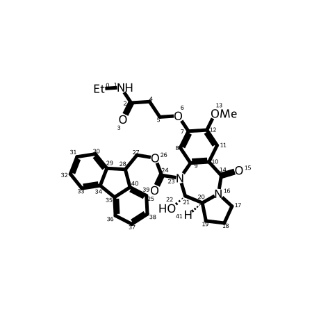 CCNC(=O)CCOc1cc2c(cc1OC)C(=O)N1CCC[C@H]1[C@H](O)N2C(=O)OCC1c2ccccc2-c2ccccc21